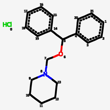 Cl.c1ccc(C(OCN2CCCCC2)c2ccccc2)cc1